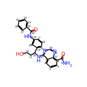 NC(=O)c1cccc2c(NC(CCO)c3cccc(NC(=O)c4ccccc4)c3)ncnc12